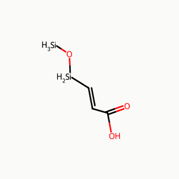 O=C(O)C=C[SiH2]O[SiH3]